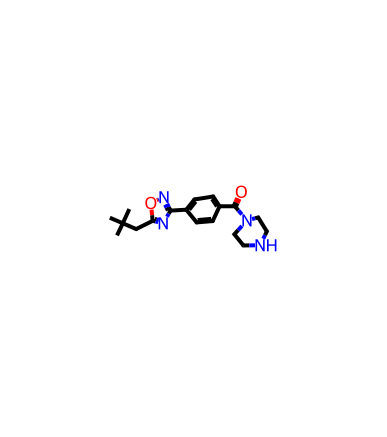 CC(C)(C)Cc1nc(-c2ccc(C(=O)N3CCNCC3)cc2)no1